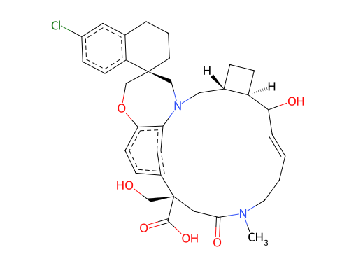 CN1CC/C=C/C(O)[C@@H]2CC[C@H]2CN2C[C@@]3(CCCc4cc(Cl)ccc43)COc3ccc(cc32)[C@@](CO)(C(=O)O)CC1=O